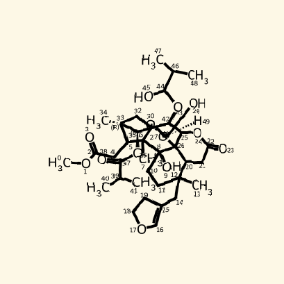 COC(=O)CC1C2(C)C3(O)CCC(C)(CC4=COCC4)C4CC(=O)OC5C43O[C@@H](O)OC23C[C@@]1(C)[C@H](OC(=O)C(C)C)C53OC(O)C(C)C